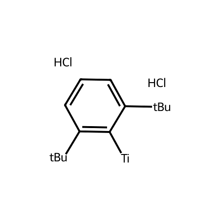 CC(C)(C)c1cccc(C(C)(C)C)[c]1[Ti].Cl.Cl